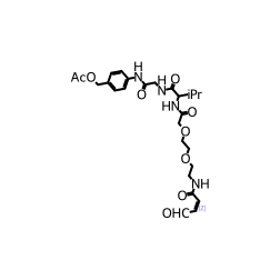 CC(=O)OCc1ccc(NC(=O)CNC(=O)C(NC(=O)COCCOCCNC(=O)/C=C\C=O)C(C)C)cc1